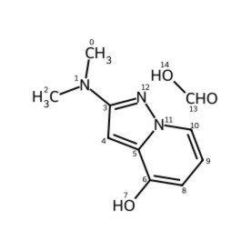 CN(C)c1cc2c(O)cccn2n1.O=CO